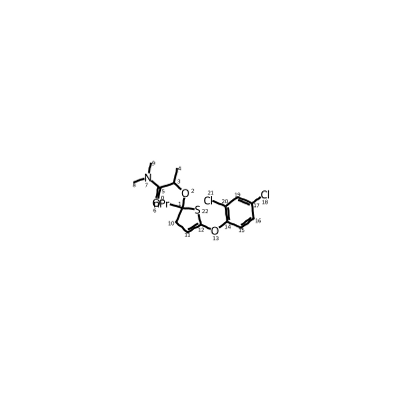 CCCC1(OC(C)C(=O)N(C)C)CC=C(Oc2ccc(Cl)cc2Cl)S1